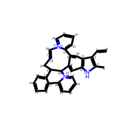 C=Cc1c(C)[nH]c2cc3c(cc12)-c1cccc[n+]1/C=C/CC1c2ccccc2-c2cccc[n+]2C31